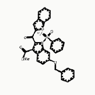 C=S(=O)(c1ccccc1)n1c(C(=O)c2cc3ccccc3o2)c(C(=O)OC)c2ccc(OCc3ccccc3)cc21